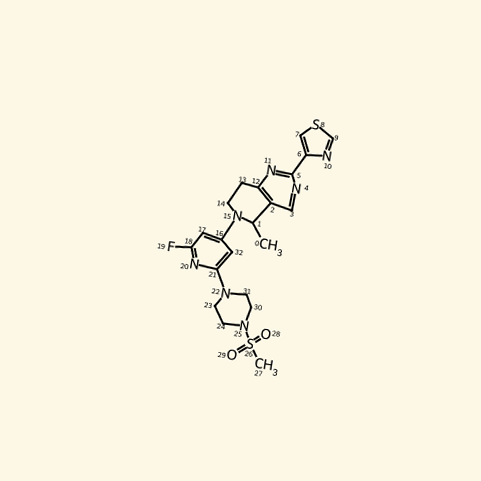 CC1c2cnc(-c3cscn3)nc2CCN1c1cc(F)nc(N2CCN(S(C)(=O)=O)CC2)c1